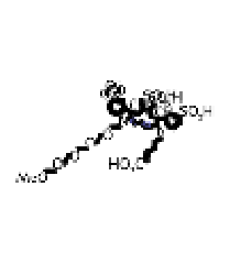 COCCOCCOCCOCCOCCN1/C(=C/C=C/C2=[N+](CCCCCC(=O)O)c3ccc(S(=O)(=O)O)cc3C2(C)CCCS(=O)(=O)O)C(C)(CCCS(=O)(=O)O)c2cc(S(=O)(=O)[O-])ccc21